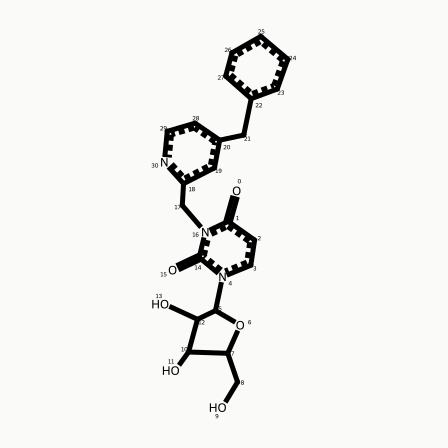 O=c1ccn(C2OC(CO)C(O)C2O)c(=O)n1Cc1cc(Cc2ccccc2)ccn1